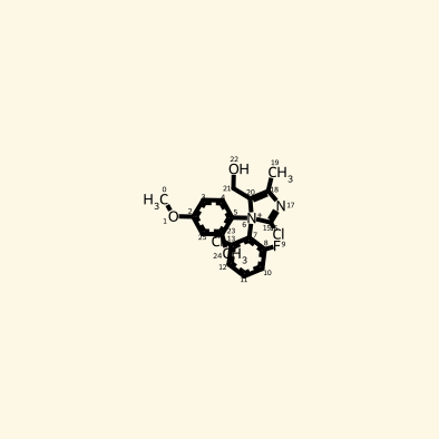 COc1ccc([N+]2(c3c(F)cccc3Cl)C(Cl)=NC(C)=C2CO)c(C)c1